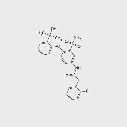 CC(C)(O)c1ccccc1Oc1ccc(NC(=O)Cc2ccccc2Cl)cc1S(N)(=O)=O